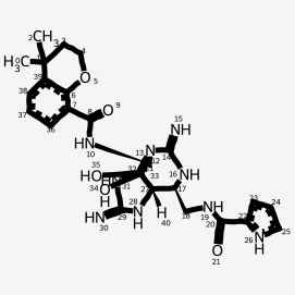 CC1(C)CCOc2c(C(=O)N[C@H]3CN4C(=N)N[C@@H](CNC(=O)c5ccc[nH]5)[C@@H]5NC(=N)N[C@@]54C3(O)O)cccc21